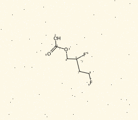 O=C(O)OCC(F)CCF